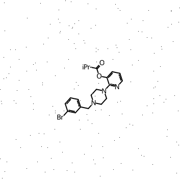 CC(C)C(=O)Oc1cccnc1N1CCN(Cc2cccc(Br)c2)CC1